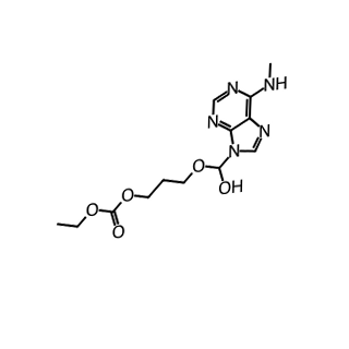 CCOC(=O)OCCCOC(O)n1cnc2c(NC)ncnc21